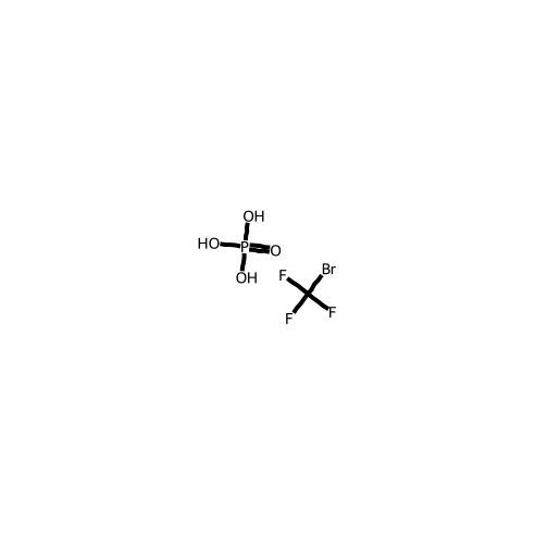 FC(F)(F)Br.O=P(O)(O)O